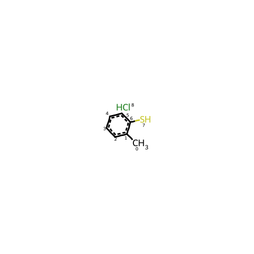 Cc1ccccc1S.Cl